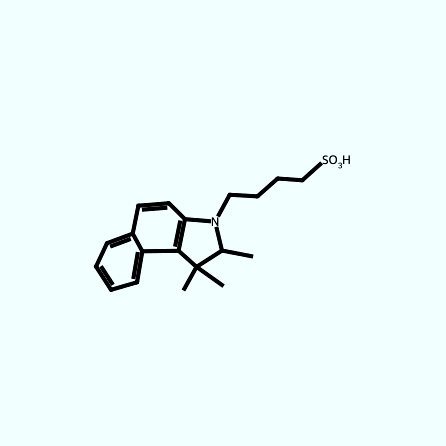 CC1N(CCCCS(=O)(=O)O)c2ccc3ccccc3c2C1(C)C